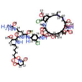 C=C(CCCCC(=O)ON1C(=O)CCC1=O)N[C@H](C(=O)N[C@@H](CCCNC(N)=O)C(=O)Nc1cc(Cl)c(NC(=O)O[C@H]2CC(=O)N(C)c3cc(cc(OC)c3Cl)C/C(C)=C/C=C/[C@@H](OC)[C@@]3(O)C[C@H](OC(=O)N3)[C@@H](C)[C@@H]3O[C@@]23C)cc1F)C(C)OC